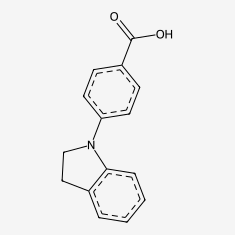 O=C(O)c1ccc(N2CCc3ccccc32)cc1